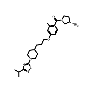 CC(C)c1noc(N2CCC(CCCOc3ccc(C(=O)N4CC[C@H](N)C4)c(F)c3)CC2)n1